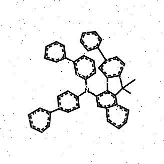 CC1(C)c2ccc(-c3ccccc3)cc2-c2c(N(c3ccc(-c4ccccc4)cc3)c3cccc(-c4ccccc4)c3)cc3ccccc3c21